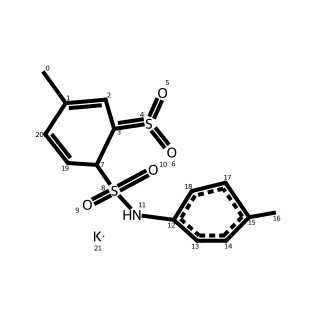 CC1=CC(=S(=O)=O)C(S(=O)(=O)Nc2ccc(C)cc2)C=C1.[K]